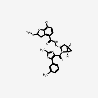 COC1Cc2c(C(=O)NC[C@@H]3C[C@@H]4C[C@@H]4N3C(=O)c3nc(C)sc3-c3cccc(C)c3)ccc(Cl)c2O1